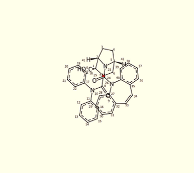 O=C(O)[C@H]1[C@@H]2CC[C@H](CN1C(=O)N(c1ccccc1)c1ccccc1)N2C(=O)N1c2ccccc2C=Cc2ccccc21